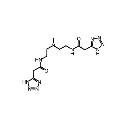 CN(CCNC(=O)Cc1nnn[nH]1)CCNC(=O)Cc1nnn[nH]1